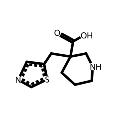 O=C(O)C1(Cc2cncs2)CCCNC1